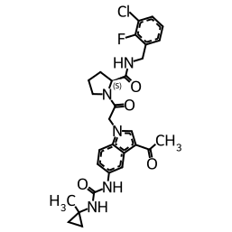 CC(=O)c1cn(CC(=O)N2CCC[C@H]2C(=O)NCc2cccc(Cl)c2F)c2ccc(NC(=O)NC3(C)CC3)cc12